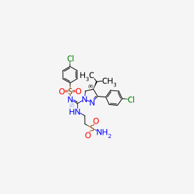 CC(C)[C@@H]1CN(/C(=N\S(=O)(=O)c2ccc(Cl)cc2)NCCS(N)(=O)=O)N=C1c1ccc(Cl)cc1